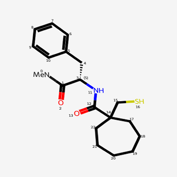 CNC(=O)[C@H](Cc1ccccc1)NC(=O)C1(CS)CCCCCC1